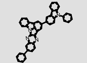 c1ccc(-c2ccc3nc4c5cc(-c6ccc7c(c6)c6ccccc6n7-c6ccccc6)cc6c7ccccc7n(c4nc3c2)c65)cc1